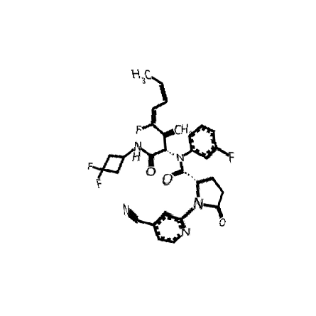 C=C(/C(F)=C\C=C/C)[C@@H](C(=O)NC1CC(F)(F)C1)N(C(=O)[C@@H]1CCC(=O)N1c1cc(C#N)ccn1)c1cccc(F)c1